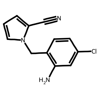 N#Cc1cccn1Cc1ccc(Cl)cc1N